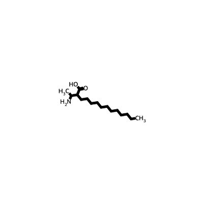 CCCCCCCCCCCCC(C(=O)O)C(C)N